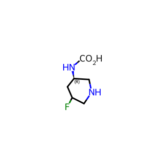 O=C(O)N[C@H]1CNCC(F)C1